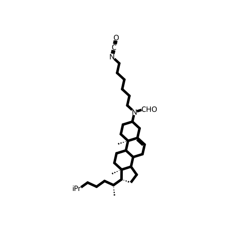 CC(C)CCC[C@@H](C)[C@H]1CCC2C3CC=C4CC(N(C=O)CCCCCCN=C=O)CC[C@]4(C)C3CC[C@@]21C